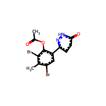 CC(=O)Oc1c(-c2ccc(=O)[nH]n2)cc(Br)c(C)c1Br